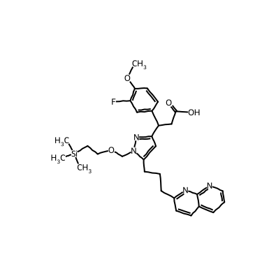 COc1ccc(C(CC(=O)O)c2cc(CCCc3ccc4cccnc4n3)n(COCC[Si](C)(C)C)n2)cc1F